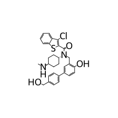 CN[C@H]1CC[C@H](N(Cc2cc(-c3ccc(CO)cc3)ccc2O)C(=O)c2sc3ccccc3c2Cl)CC1